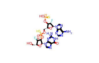 Nc1nc2c(ncn2[C@@H]2O[C@H](CO)C(F)C2O[PH](O)(S)OC[C@H]2O[C@@H](n3cnc4c(N)ncnc43)[C@@H](F)C2O[PH](O)=S)c(=O)[nH]1